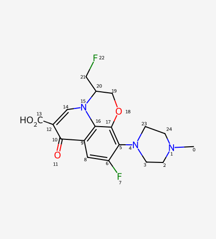 CN1CCN(c2c(F)cc3c(=O)c(C(=O)O)cn4c3c2OCC4CF)CC1